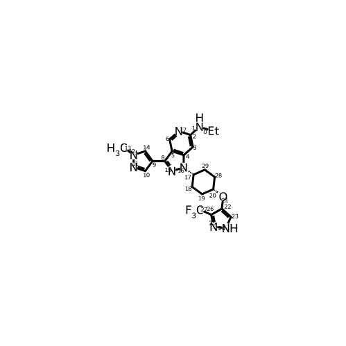 CCNc1cc2c(cn1)c(-c1cnn(C)c1)nn2[C@H]1CC[C@@H](Oc2c[nH]nc2C(F)(F)F)CC1